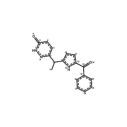 CC(c1ccc(=O)[nH]n1)c1ccc(C(=O)c2ccccc2)[nH]1